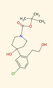 CC(C)(C)OC(=O)N1CCC(O)(c2cc(Cl)ccc2CCO)CC1